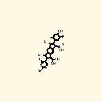 N#CC(C#N)=C1C(c2cc(F)c(C#N)cc2F)=C(C#N)c2cc3c(cc21)C(=C(C#N)C#N)C(c1cnc(C#N)nc1F)=C3C#N